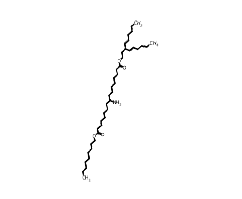 CCCCCCCCCOC(=O)CCCCCCCC(N)CCCCCCCC(=O)OCCC(CCCCCC)CCCCCC